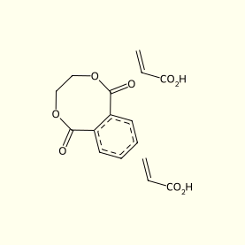 C=CC(=O)O.C=CC(=O)O.O=C1OCCOC(=O)c2ccccc21